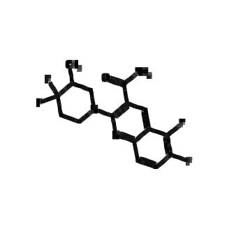 CC1CN(c2nc3ccc(F)c(F)c3cc2C(N)=O)CCC1(F)F